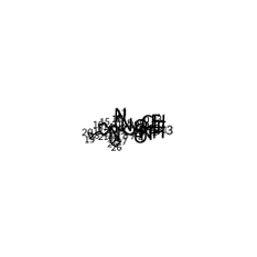 C[C@H](NS(=O)(=O)c1ccc(-c2c(C#N)c3ccc(C4CC4)cc3n2C2CCC2)nc1)C(F)(F)F